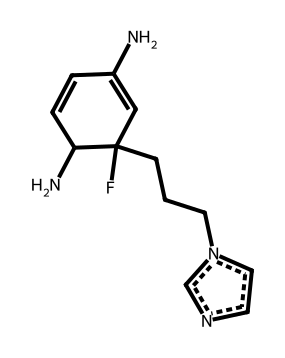 NC1=CC(F)(CCCn2ccnc2)C(N)C=C1